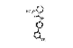 O=C(O)C1CCCCN1C(=O)Nc1ccc(-c2cccc(C(F)(F)F)c2)cc1